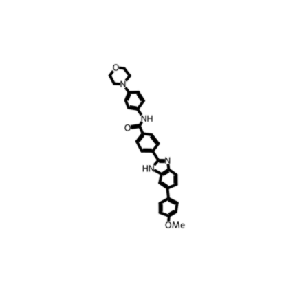 COc1ccc(-c2ccc3nc(-c4ccc(C(=O)Nc5ccc(N6CCOCC6)cc5)cc4)[nH]c3c2)cc1